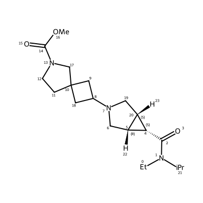 CCN(C(=O)[C@@H]1[C@@H]2CN(C3CC4(CCN(C(=O)OC)C4)C3)C[C@@H]21)C(C)C